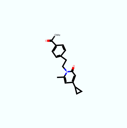 COC(=O)c1ccc(CCn2c(C)cc(C3CC3)cc2=O)cc1